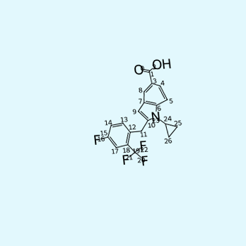 O=C(O)c1ccc2c(c1)cc(Cc1ccc(F)cc1C(F)(F)F)n2C1CC1